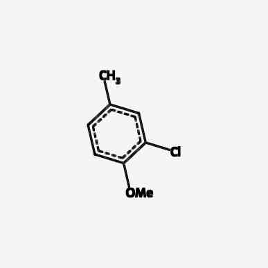 [CH2]Oc1ccc(C)cc1Cl